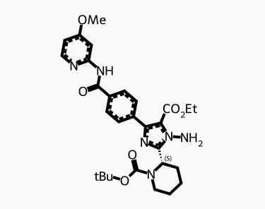 CCOC(=O)c1c(-c2ccc(C(=O)Nc3cc(OC)ccn3)cc2)nc([C@@H]2CCCCN2C(=O)OC(C)(C)C)n1N